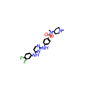 CN1CCC(N(C)S(=O)(=O)c2ccc(Nc3nccc(Nc4ccc(F)c(F)c4)n3)cc2)CC1